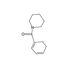 O=C(C1=CC=CC[CH]1)N1CCCCC1